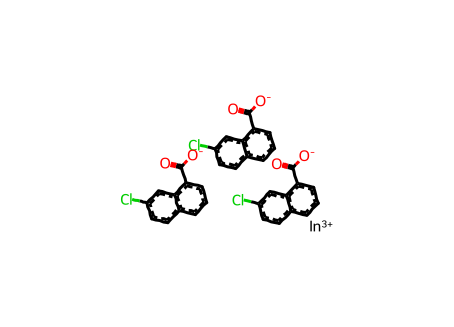 O=C([O-])c1cccc2ccc(Cl)cc12.O=C([O-])c1cccc2ccc(Cl)cc12.O=C([O-])c1cccc2ccc(Cl)cc12.[In+3]